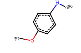 CCCCNc1ccc(OC(C)C)cc1